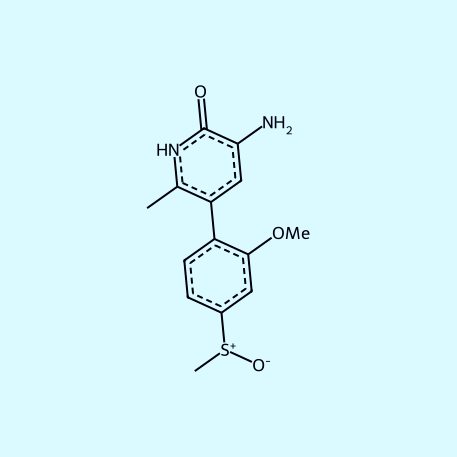 COc1cc([S+](C)[O-])ccc1-c1cc(N)c(=O)[nH]c1C